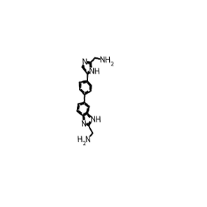 NCc1ncc(-c2ccc(-c3ccc4nc(CN)[nH]c4c3)cc2)[nH]1